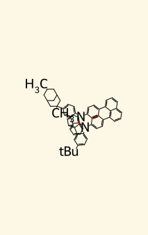 CC1CC2CC(C1)CC(C)(c1ccc3c(c1)c1ccccc1n3-c1ccc(-c3cccc4cccc(-c5ccc(-n6c7ccccc7c7cc(C(C)(C)C)ccc76)cc5)c34)cc1)C2